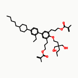 C=C(C)C(=O)OCCCc1cc(-c2ccc(C3CCC(CCCCC)CC3)cc2CC)cc(CCCOC(=O)C(=C)C)c1OCCC(CO)(CO)CCC